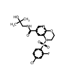 CC(C)(O)CNC(=O)c1cnc2c(c1)N(S(=O)(=O)c1ccc(Cl)cc1F)CCO2